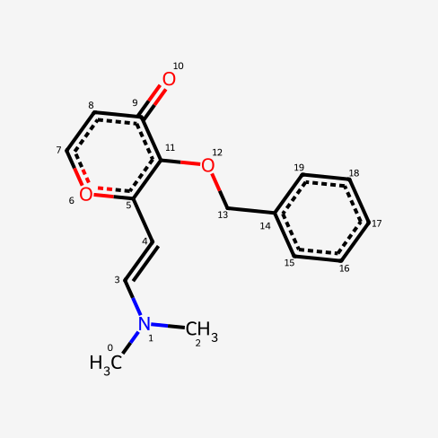 CN(C)/C=C/c1occc(=O)c1OCc1ccccc1